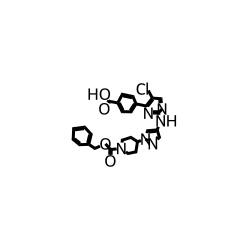 O=C(O)c1ccc(-c2nc(Nc3cnn(C4CCN(C(=O)OCc5ccccc5)CC4)c3)ncc2Cl)cc1